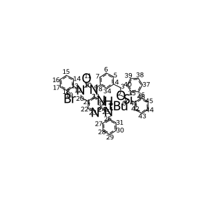 CC(C)(C)[Si](OCc1cccc(N2C(=O)N(c3ccccc3Br)Cc3cnc(Nc4ccccc4)nc32)c1)(c1ccccc1)c1ccccc1